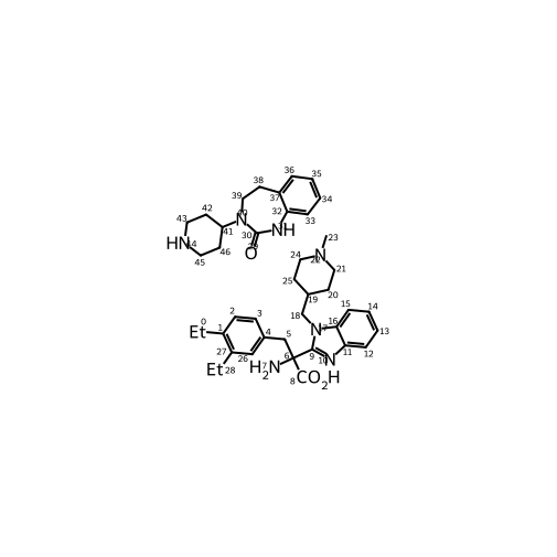 CCc1ccc(CC(N)(C(=O)O)c2nc3ccccc3n2CC2CCN(C)CC2)cc1CC.O=C1Nc2ccccc2CCN1C1CCNCC1